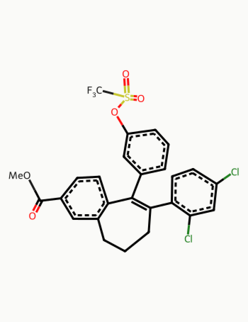 COC(=O)c1ccc2c(c1)CCCC(c1ccc(Cl)cc1Cl)=C2c1cccc(OS(=O)(=O)C(F)(F)F)c1